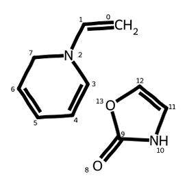 C=CN1C=CC=CC1.O=c1[nH]cco1